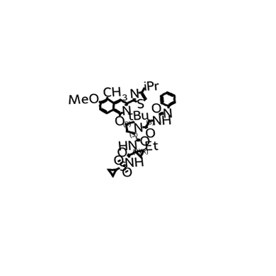 CC[C@@H]1C[C@]1(NC(=O)[C@@H]1C[C@@H](Oc2nc(-c3nc(C(C)C)cs3)cc3c(C)c(OC)ccc23)CN1C(=O)[C@@H](Nc1nc2ccccc2o1)C(C)(C)C)C(=O)NS(=O)(=O)C1CC1